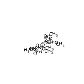 CCOC(=O)c1sc(N2CC[C@@H](NC(=O)c3nc(Cl)c(CC)[nH]3)[C@@H](OC(C)C)C2)nc1C(=O)NCCOC